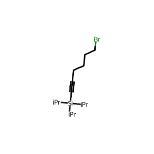 CC(C)[Si](C#CCCCCBr)(C(C)C)C(C)C